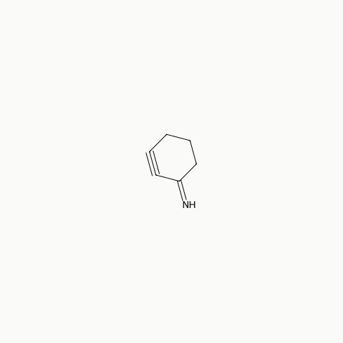 N=C1C#CCCC1